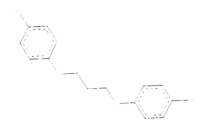 CC(C)c1ccc(OCCCOc2ccc(C(C)C)cc2)cc1